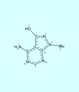 CC(C)(C)n1nc(O)c2c(N)ncnc21